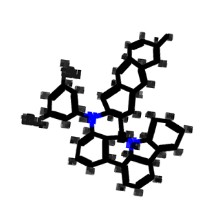 Cc1ccc2cc3cc4c(cc3cc2c1)B1c2c(cccc2N4c2cc(C(C)(C)C)cc(C(C)(C)C)c2)-c2cccc3c4ccccc4n1c23